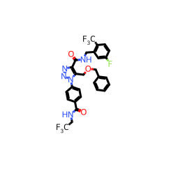 O=C(NCC(F)(F)F)c1ccc(-n2nnc(C(=O)NCc3cc(F)ccc3C(F)(F)F)c2COCc2ccccc2)cc1